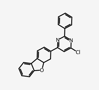 Clc1cc(C2=CC=C3c4ccccc4OC3C2)nc(-c2ccccc2)n1